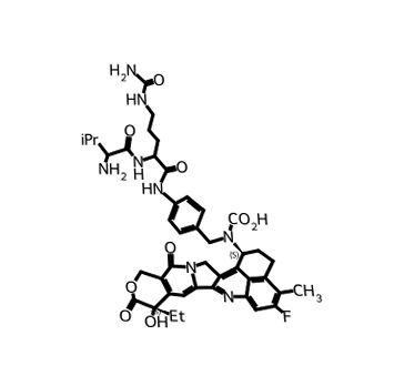 CC[C@@]1(O)C(=O)OCc2c1cc1n(c2=O)Cc2c-1nc1cc(F)c(C)c3c1c2[C@@H](N(Cc1ccc(NC(=O)C(CCCNC(N)=O)NC(=O)C(N)C(C)C)cc1)C(=O)O)CC3